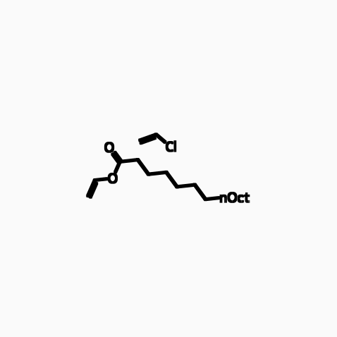 C=CCl.C=COC(=O)CCCCCCCCCCCCCC